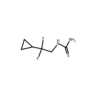 NC(=S)NCC(F)(F)C1CC1